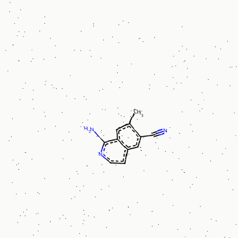 Cc1cc2c(N)nccc2cc1C#N